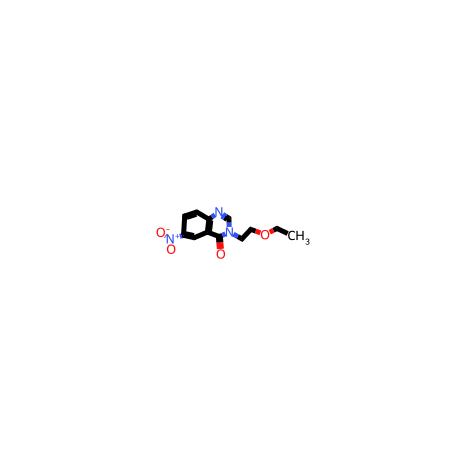 CCOCCn1cnc2ccc([N+](=O)[O-])cc2c1=O